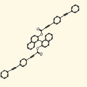 O=C(C#Cc1ccc(C#Cc2ccccc2)cc1)Oc1ccc2ccccc2c1-c1c(OC(=O)C#Cc2ccc(C#Cc3ccccc3)cc2)ccc2ccccc12